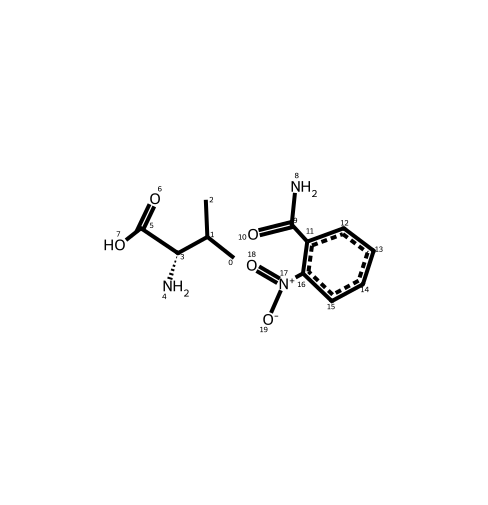 CC(C)[C@H](N)C(=O)O.NC(=O)c1ccccc1[N+](=O)[O-]